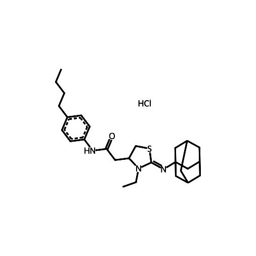 CCCCc1ccc(NC(=O)CC2CSC(=NC34CC5CC(CC(C5)C3)C4)N2CC)cc1.Cl